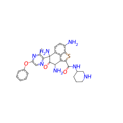 Cc1nc(Oc2ccccc2)cnc1C1(N)C(=O)C(N)c2c(C(=O)NC3CCCNC3)sc3c(N)ccc1c23